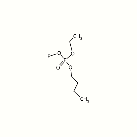 CCCCOP(=O)(OF)OCC